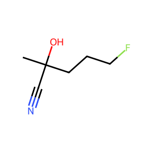 CC(O)(C#N)CCCF